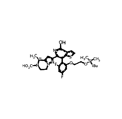 C[C@H]1c2cc(-c3nc(O)c4ccsc4c3-c3c(F)cc(F)cc3OCCO[Si](C)(C)C(C)(C)C)nn2CCN1C(=O)O